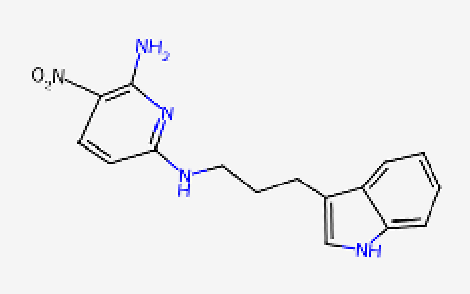 Nc1nc(NCCCc2c[nH]c3ccccc23)ccc1[N+](=O)[O-]